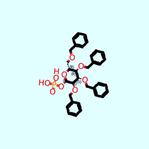 O=P(O)(O)O[C@H]1O[C@H](COCc2ccccc2)[C@@H](OCc2ccccc2)[C@H](OCc2ccccc2)[C@H]1OCc1ccccc1